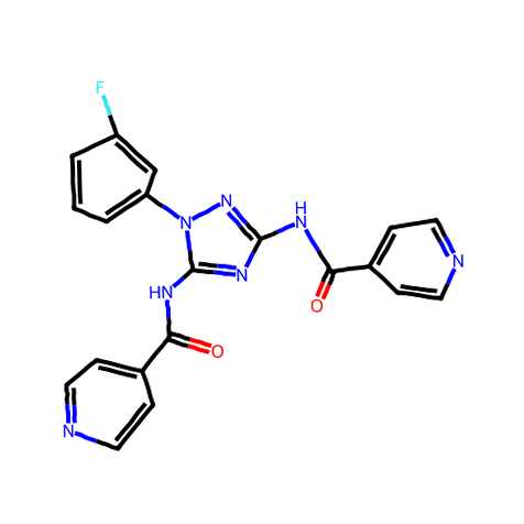 O=C(Nc1nc(NC(=O)c2ccncc2)n(-c2cccc(F)c2)n1)c1ccncc1